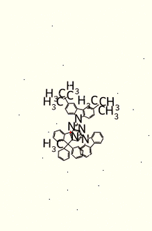 CC(C)(C)c1ccc2c(c1)c1cc(C(C)(C)C)ccc1n2-c1nc(-c2ccccc2C(c2ccccc2)(c2ccccc2)C2(C)C=CC=CC2)nc(-n2c3ccccc3c3ccccc32)n1